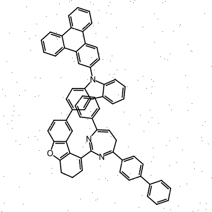 C1=C(c2ccccc2)N=C(C2=CCCc3oc4ccc(-c5ccc6c(c5)c5ccccc5n6-c5ccc6c7ccccc7c7ccccc7c6c5)cc4c32)N=C(c2ccc(-c3ccccc3)cc2)C1